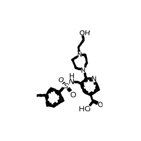 Cc1cccc(S(=O)(=O)Nc2cc(C(=O)O)cnc2N2CCN(CCO)CC2)c1